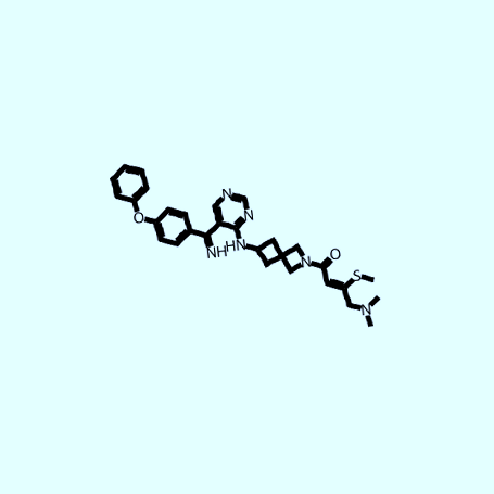 CS/C(=C\C(=O)N1CC2(CC(Nc3ncncc3C(=N)c3ccc(Oc4ccccc4)cc3)C2)C1)CN(C)C